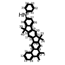 Cc1c(C)c2cc3c(cc2c2ccccc12)-c1cc2c(cc1C3(C)C)-c1ccc(Nc3ccccc3)cc1C2(C)C